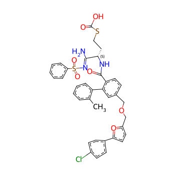 Cc1ccccc1-c1cc(COCc2ccc(-c3ccc(Cl)cc3)o2)ccc1C(=O)N[C@@H](CCSC(=O)O)C(N)=NS(=O)(=O)c1ccccc1